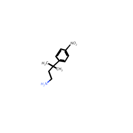 CC(C)(CCN)c1ccc([N+](=O)[O-])cc1